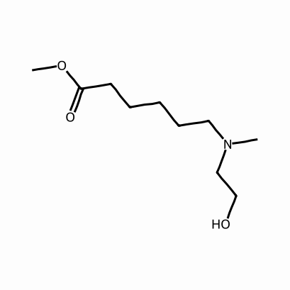 COC(=O)CCCCCN(C)CCO